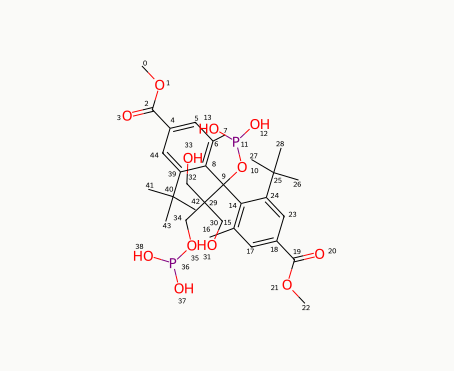 COC(=O)c1cc(C)c(C(OP(O)O)(c2c(C)cc(C(=O)OC)cc2C(C)(C)C)C(CO)(CO)COP(O)O)c(C(C)(C)C)c1